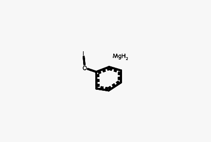 IOc1ccccc1.[MgH2]